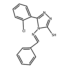 Sc1nnc(-c2ccccc2Cl)n1N=Cc1ccccc1